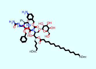 CCCCCCCCCCCCCCCCCCCCCCCCCC(=O)O[C@H](CCCCCCCCCCCCCC)[C@@H](O)[C@H](CO[C@H]1O[C@H](CO)[C@H](O)[C@H](O)[C@H]1O)N(C(=O)OCc1ccc(N)cc1)C(=O)[C@H](CCCNC(N)=O)NC(=O)[C@@H](NC(=O)OCc1ccccc1)C(C)C